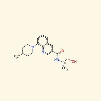 C[C@H](CO)NC(=O)c1cnc2c(N3CCC(C(F)(F)F)CC3)cccc2c1